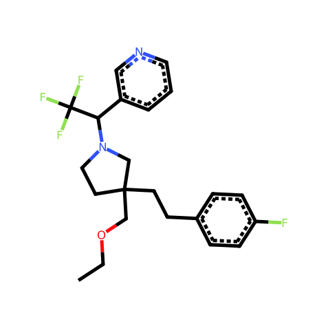 CCOCC1(CCc2ccc(F)cc2)CCN(C(c2cccnc2)C(F)(F)F)C1